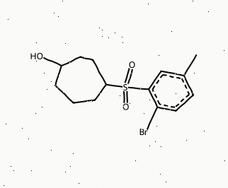 Cc1ccc(Br)c(S(=O)(=O)C2CCCC(O)CC2)c1